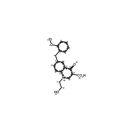 CCOc1ccccc1Cc1ccc2c(c1)c(=O)c(C(=O)O)cn2CCO